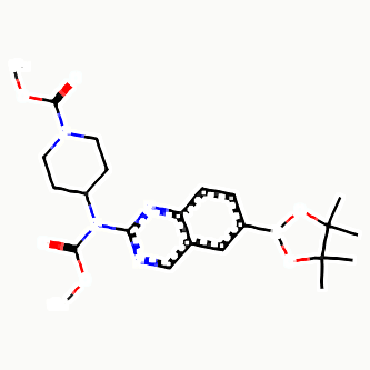 CC(C)(C)OC(=O)N1CCC(N(C(=O)OC(C)(C)C)c2ncc3cc(B4OC(C)(C)C(C)(C)O4)ccc3n2)CC1